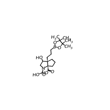 CC1(C)OB(CCC[C@@]23CCC[C@]2(C(=O)O)N(C(=O)O)CC3O)OC1(C)C